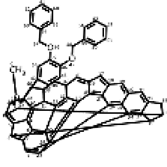 CN1CC2C3=c4c5c6c7c4=C4C8c9c%10c%11c%12c(cc%13cc%14cc%15c(c%16c%14c(c%13%12)c(c%11c97)c6%16)C5C(C3)C%15)=CC%10CC8CC42C1c1ccc(OCc2ccccc2)c(OCc2ccccc2)c1